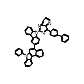 c1ccc(-c2ccc(-c3nc(-n4c5ccccc5c5cc(-c6cc7c(c8ccccc68)c6ccccc6n7-c6ccccc6)ccc54)nc4cccnc34)cc2)cc1